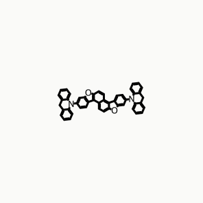 c1ccc2c(c1)Cc1ccccc1N2c1ccc2c(c1)oc1ccc3c(ccc4oc5cc(N6c7ccccc7Cc7ccccc76)ccc5c43)c12